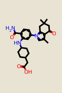 Cc1cn(-c2ccc(C(N)=O)c(NC3CCC(CC(=O)O)CC3)c2)c2c1C(=O)CC(C)(C)C2